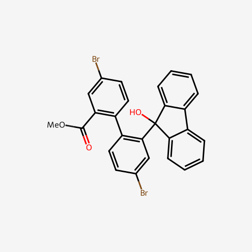 COC(=O)c1cc(Br)ccc1-c1ccc(Br)cc1C1(O)c2ccccc2-c2ccccc21